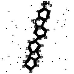 Bc1ccc2c(c1)oc1cc(-c3ccc4c(c3)Cc3ccccc3-4)ccc12